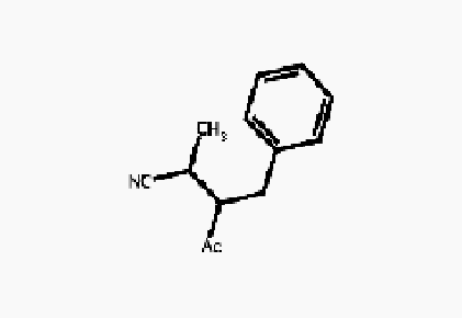 CC(=O)C(Cc1ccccc1)C(C)C#N